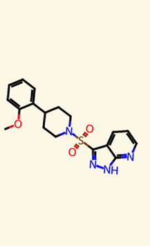 COc1ccccc1C1CCN(S(=O)(=O)c2n[nH]c3ncccc23)CC1